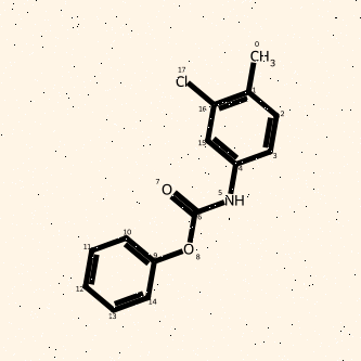 Cc1ccc(NC(=O)Oc2ccccc2)cc1Cl